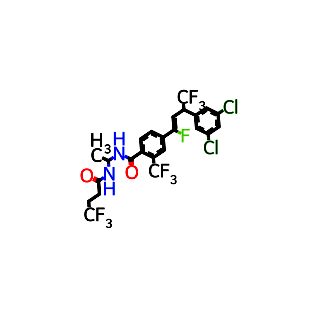 CC(NC(=O)CCC(F)(F)F)NC(=O)c1ccc(/C(F)=C/C(c2cc(Cl)cc(Cl)c2)C(F)(F)F)cc1C(F)(F)F